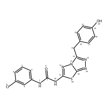 O=C(Nc1cccc(Cl)c1)Nc1nn2c(Cc3ccc(O)cc3)nnc2s1